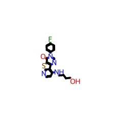 O=c1c2sc3nccc(NCCCCO)c3c2ncn1-c1ccc(F)cc1